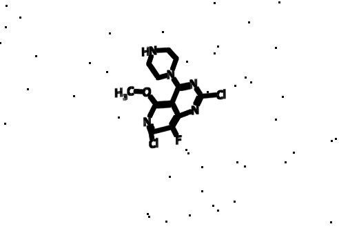 COc1nc(Cl)c(F)c2nc(Cl)nc(N3CCNCC3)c12